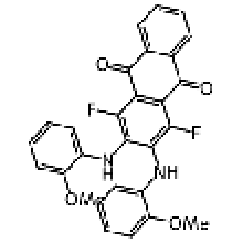 COc1ccccc1Nc1c(F)c2c(c(F)c1Nc1ccccc1OC)C(=O)c1ccccc1C2=O